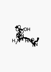 C#CCCC1(CC(=O)NCC#Cc2nc(N)c3ncn([C@H]4O[C@@H](CO)C5OC(C)(C)OC54)c3n2)N=N1